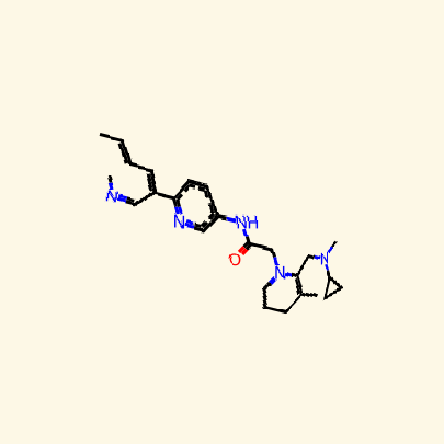 C/C=C/C=C(\C=N/C)c1ccc(NC(=O)CN2CCCC(C)=C2CN(C)C2CC2)cn1